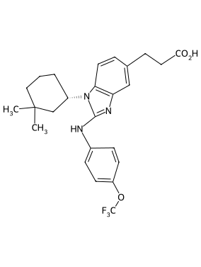 CC1(C)CCC[C@H](n2c(Nc3ccc(OC(F)(F)F)cc3)nc3cc(CCC(=O)O)ccc32)C1